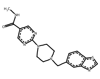 CNC(=O)c1cnc(N2CCN(Cc3ccc4scnc4c3)CC2)nc1